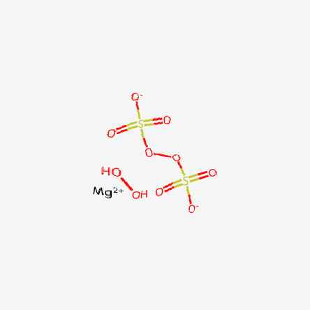 O=S(=O)([O-])OOS(=O)(=O)[O-].OO.[Mg+2]